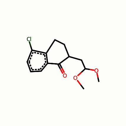 COC(CC1CCc2c(Cl)cccc2C1=O)OC